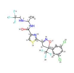 CC(NCC(F)(F)F)NC(=O)c1csc(C2=NOC(c3cc(Cl)cc(Cl)c3)(C(F)(F)F)C2)n1